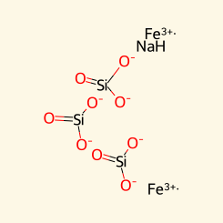 O=[Si]([O-])[O-].O=[Si]([O-])[O-].O=[Si]([O-])[O-].[Fe+3].[Fe+3].[NaH]